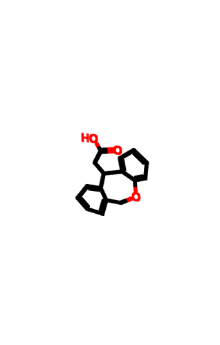 O=C(O)CC1c2ccccc2COc2ccccc21